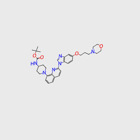 CC(C)(C)OC(=O)NC1CCN(c2cccc3ccc(-n4cnc5cc(OCCCN6CCOCC6)ccc54)nc23)CC1